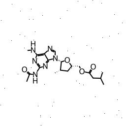 CNc1nc(NC(C)=O)nc2c1ncn2[C@@H]1O[C@H](COC(=O)CC(C)C)C[C@@H]1C